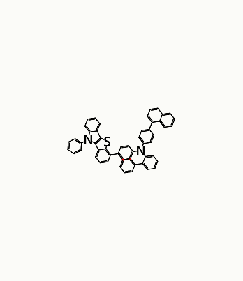 c1ccc(-c2ccccc2N(c2ccc(-c3cccc4ccccc34)cc2)c2ccc(-c3cccc4c3sc3c5ccccc5n(-c5ccccc5)c43)cc2)cc1